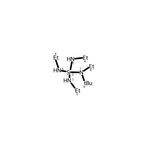 CCN[Si](NCC)(NCC)N(CC)C(C)(C)C